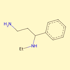 CCNC(CCN)c1ccccc1